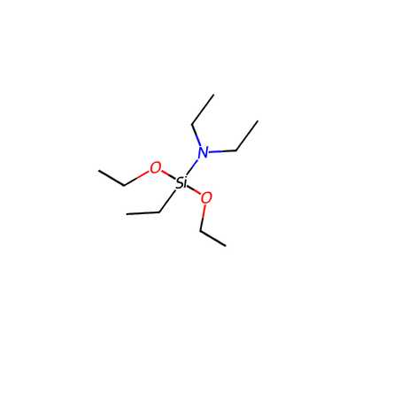 CCO[Si](CC)(OCC)N(CC)CC